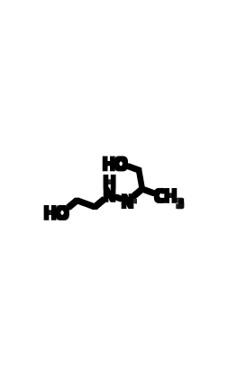 CC(CO)[N]NCCO